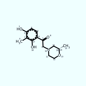 Cc1c(O)ccc(C(=O)CN2CCO[C@@H](C)C2)c1O